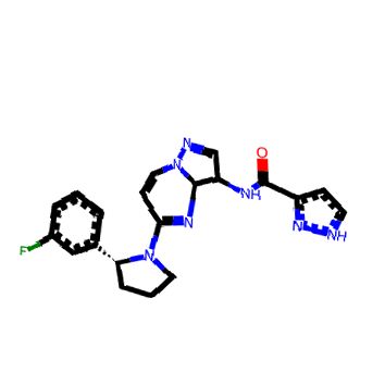 O=C(NC1C=NN2C=CC(N3CCC[C@@H]3c3cccc(F)c3)=NC12)c1cc[nH]n1